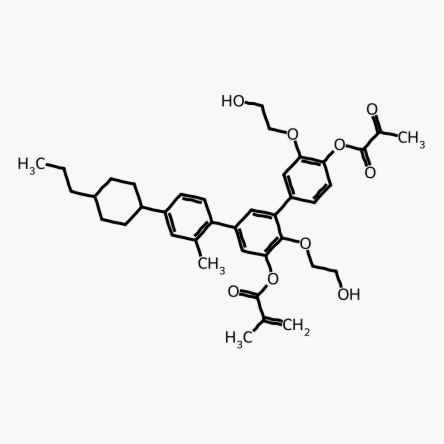 C=C(C)C(=O)Oc1cc(-c2ccc(C3CCC(CCC)CC3)cc2C)cc(-c2ccc(OC(=O)C(C)=O)c(OCCO)c2)c1OCCO